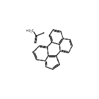 C=C(C)C(=O)O.c1cc2cccc3c4cccc5cccc(c(c1)c23)c54